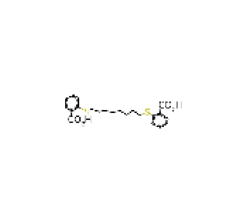 O=C(O)c1ccccc1SCCCCCCCCSc1ccccc1C(=O)O